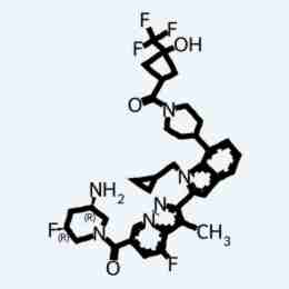 Cc1c(-c2cc3cccc(C4CCN(C(=O)C5CC(O)(C(F)(F)F)C5)CC4)c3n2CC2CC2)nn2cc(C(=O)N3C[C@H](N)C[C@@H](F)C3)cc(F)c12